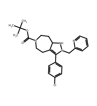 CC(C)(C)OC(=O)N1CCC2=C(c3ccc(Cl)cc3)N(Cc3ccccn3)NC2CC1